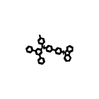 Cc1ccc(N(c2ccc(-c3ccc(-n4c5c(c6ccccc64)CCC=C5)cc3)cc2)c2cc(-c3ccccc3)cc(-c3ccccc3)c2)cc1